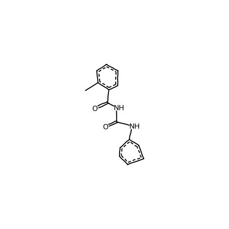 Cc1ccccc1C(=O)NC(=O)Nc1ccccc1